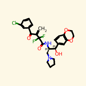 C=C(C(=O)c1cccc(Cl)c1)C(F)(F)C(=O)N[C@H](CN1CCCC1)[C@H](O)c1ccc2c(c1)OCCO2